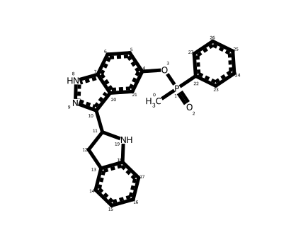 CP(=O)(Oc1ccc2[nH]nc(C3Cc4ccccc4N3)c2c1)c1ccccc1